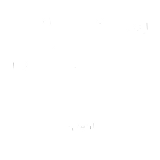 CCCCCC=CC1C(OC(=O)O)C1(C)C